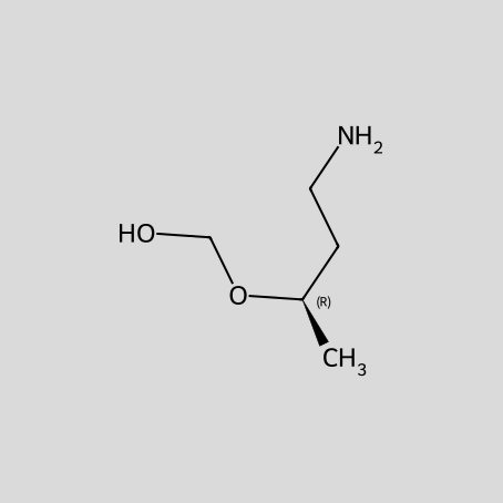 C[C@H](CCN)OCO